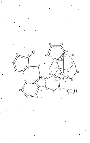 O=C(O)[C@@H]1Cc2c(n(Cc3ccccc3Cl)c3ccccc23)[C@@](Cc2ccccc2)(C23CC4CC(CC(C4)C2)C3)N1